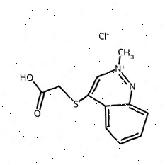 C[n+]1cc(SCC(=O)O)c2ccccc2n1.[Cl-]